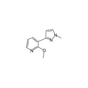 COc1ncccc1-c1ccn(C)n1